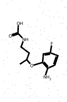 CC(CCNC(=O)O)Oc1cc(F)ccc1N